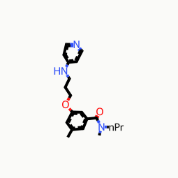 CCCN(C)C(=O)c1cc(C)cc(OCCCNc2ccncc2)c1